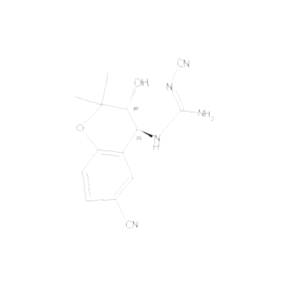 CC1(C)Oc2ccc(C#N)cc2[C@H](NC(N)=NC#N)[C@H]1O